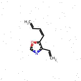 C=C/C=C\c1ocnc1C=C